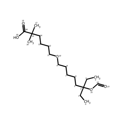 CCC(CC)(CCCCCOCCCCC(C)(C)C(=O)O)OC=O